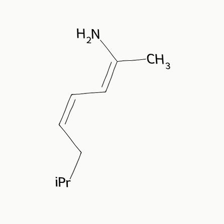 C/C(N)=C/C=C\CC(C)C